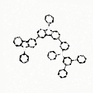 c1ccc(-c2cc(-c3ccccc3)cc(N(c3ccccc3)c3cccc(-c4ccc5c(c4)c4cc(-c6ccc7c(c6)c6ccccc6n7-c6ccccc6)ccc4n5-c4ccccc4)c3)c2)cc1